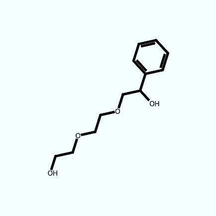 OCCOCCOCC(O)c1ccccc1